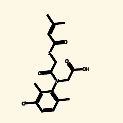 CC(C)=CC(=O)SCC(=O)N(CC(=O)O)c1c(C)ccc(Cl)c1C